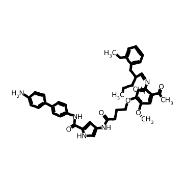 CCc1ccccc1CC(/C=N\c1cc(OCCCC(=O)Nc2c[nH]c(C(=O)Nc3ccc(-c4ccc(N)cc4)cc3)c2)c(OC)cc1C(C)=O)[C@H](C)CC